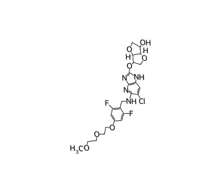 COCCOCCOc1cc(F)c(CNc2nc3nc(O[C@@H]4CO[C@H]5[C@@H]4OC[C@H]5O)[nH]c3cc2Cl)c(F)c1